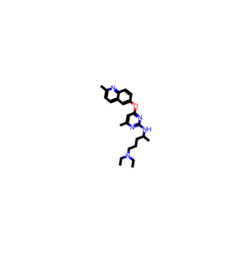 CCN(CC)CCCC(C)Nc1nc(C)cc(Oc2ccc3nc(C)ccc3c2)n1